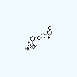 COc1ccc(F)c(C2CCC(OCc3cccc(C(C4CC4)C(C)(F)C(=O)O)c3)CC2)c1